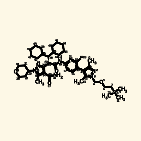 Cc1nn(COCC[Si](C)(C)C)c(C)c1-c1ccc(NC(=O)[C@H](c2nn(C3CCOCC3)c(C)c2C(N)=O)C(C2CCCCC2)C2CCCCC2)nc1F